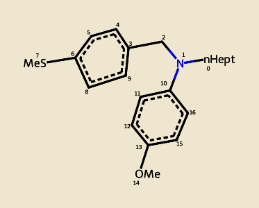 CCCCCCCN(Cc1ccc(SC)cc1)c1ccc(OC)cc1